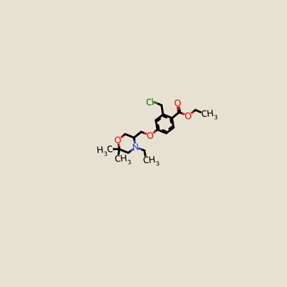 CCOC(=O)c1ccc(OCC2COC(C)(C)CN2CC)cc1CCl